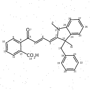 CN1/C(=C\C=C\C(=O)c2ccccc2C(=O)O)C(C)(Cc2ccccc2)c2ccccc21